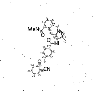 CNC(=O)c1cccc(Cn2nc(C)c(NC(=O)c3ccc(COc4ccccc4C#N)cc3)c2C)c1